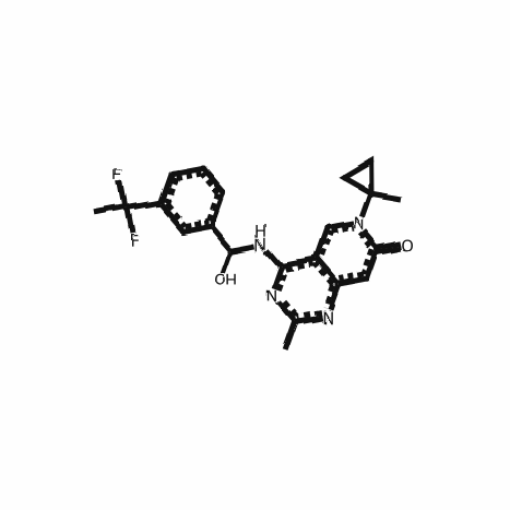 Cc1nc(NC(O)c2cccc(C(C)(F)F)c2)c2cn(C3(C)CC3)c(=O)cc2n1